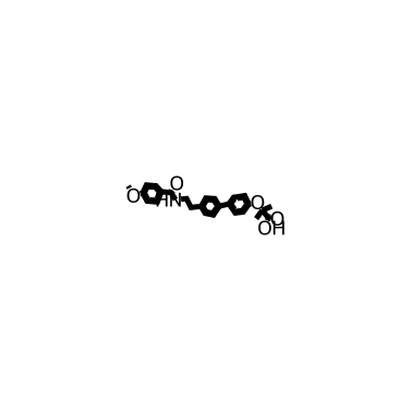 COc1ccc(C(=O)NCCc2ccc(-c3ccc(OC(C)(C)C(=O)O)cc3)cc2)cc1